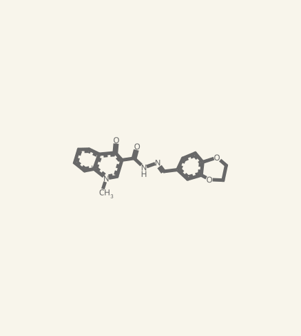 Cn1cc(C(=O)N/N=C/c2ccc3c(c2)OCCO3)c(=O)c2ccccc21